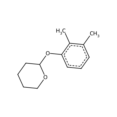 Cc1cccc(OC2CCCCO2)c1C